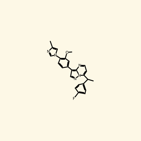 COc1cc(-c2cnn3c(C(C)c4ccc(F)cc4)ccnc23)ccc1-n1cnc(C)c1